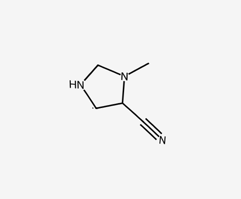 CN1CN[CH]C1C#N